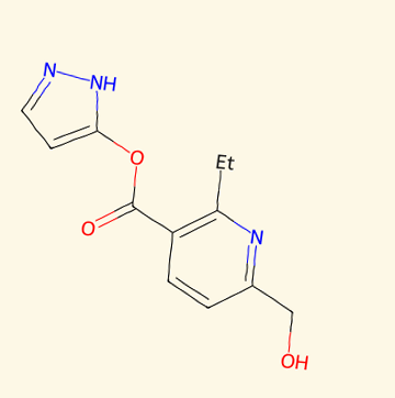 CCc1nc(CO)ccc1C(=O)Oc1ccn[nH]1